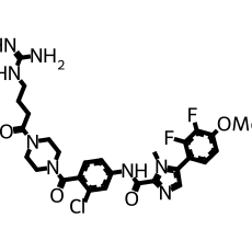 COc1ccc(-c2cnc(C(=O)Nc3ccc(C(=O)N4CCN(C(=O)CCCNC(=N)N)CC4)c(Cl)c3)n2C)c(F)c1F